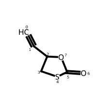 C#CC1CSC(=O)O1